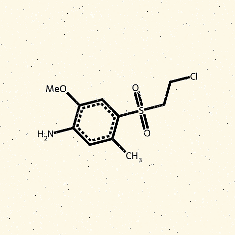 COc1cc(S(=O)(=O)CCCl)c(C)cc1N